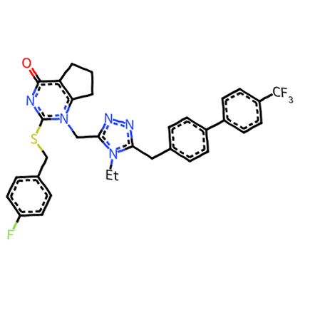 CCn1c(Cc2ccc(-c3ccc(C(F)(F)F)cc3)cc2)nnc1Cn1c(SCc2ccc(F)cc2)nc(=O)c2c1CCC2